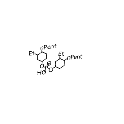 CCCCCC1CCC(OP(=O)(O)OC2CCC(CCCCC)C(CC)C2)CC1CC